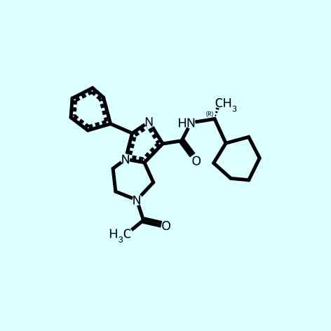 CC(=O)N1CCn2c(-c3ccccc3)nc(C(=O)N[C@H](C)C3CCCCC3)c2C1